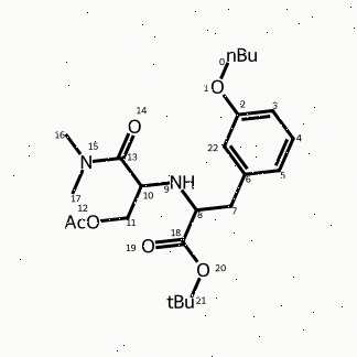 CCCCOc1cccc(CC(NC(COC(C)=O)C(=O)N(C)C)C(=O)OC(C)(C)C)c1